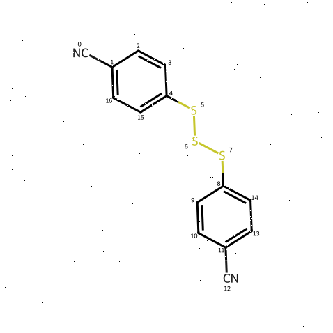 N#Cc1ccc(SSSc2ccc(C#N)cc2)cc1